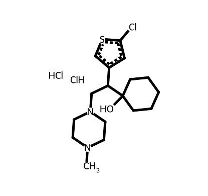 CN1CCN(CC(c2csc(Cl)c2)C2(O)CCCCC2)CC1.Cl.Cl